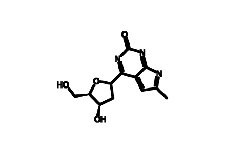 CC1=NC2=NC(=O)N=C(C3C[C@@H](O)[C@@H](CO)O3)C2=C1